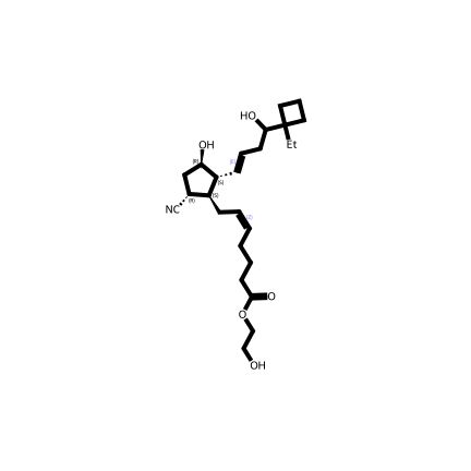 CCC1(C(O)C/C=C/[C@@H]2[C@@H](C/C=C\CCCC(=O)OCCO)[C@H](C#N)C[C@H]2O)CCC1